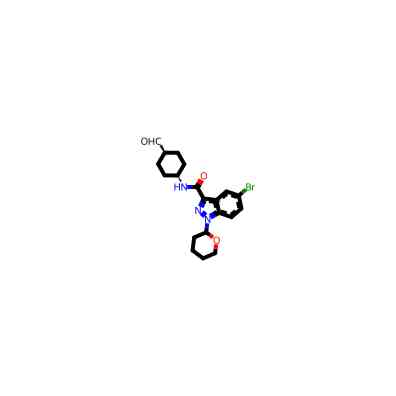 O=C[C@H]1CC[C@H](NC(=O)c2nn(C3CCCCO3)c3ccc(Br)cc23)CC1